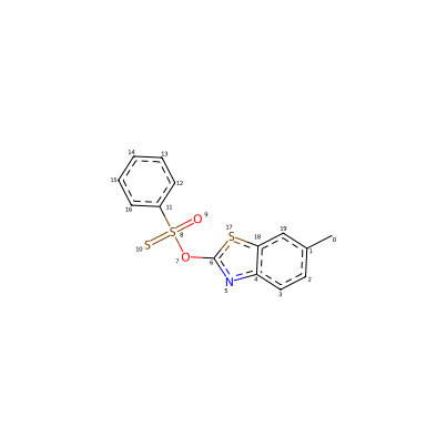 Cc1ccc2nc(OS(=O)(=S)c3ccccc3)sc2c1